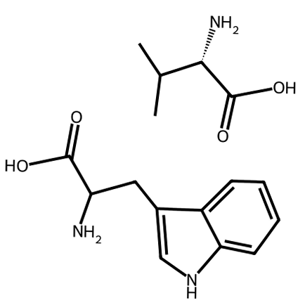 CC(C)[C@H](N)C(=O)O.NC(Cc1c[nH]c2ccccc12)C(=O)O